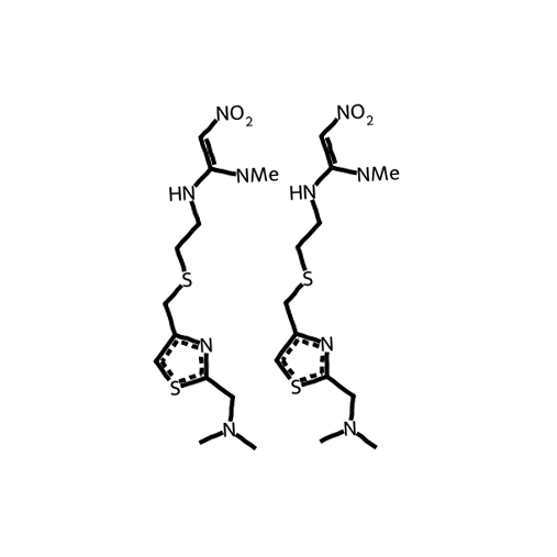 CN/C(=C\[N+](=O)[O-])NCCSCc1csc(CN(C)C)n1.CN/C(=C\[N+](=O)[O-])NCCSCc1csc(CN(C)C)n1